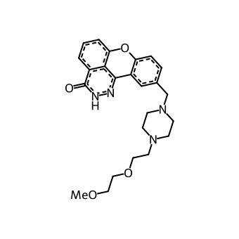 COCCOCCN1CCN(Cc2ccc3c(c2)-c2n[nH]c(=O)c4cccc(c24)O3)CC1